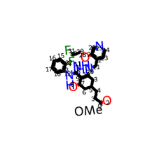 COC(=O)CCC1CC(=O)C(C(=N)Nc2ccccc2)=C(NCc2ccncc2OCC(F)F)C1